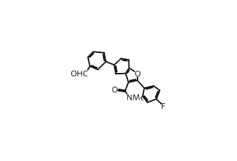 CNC(=O)c1c(-c2ccc(F)cc2)oc2ccc(-c3cccc(C=O)c3)cc12